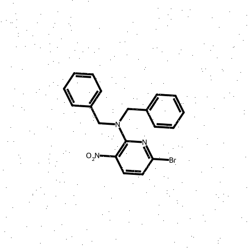 O=[N+]([O-])c1ccc(Br)nc1N(Cc1ccccc1)Cc1ccccc1